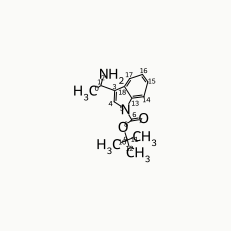 CC(N)c1cn(C(=O)OC(C)(C)C)c2ccccc12